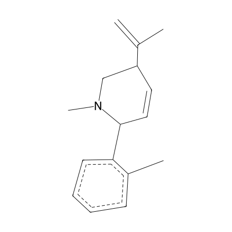 C=C(C)C1C=CC(c2ccccc2C)N(C)C1